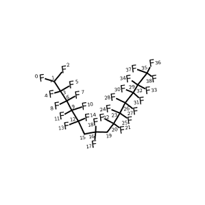 F[C](F)C(F)(F)C(F)(F)C(F)(F)C(F)(F)CC(F)(F)CC(F)(F)C(F)(F)C(F)(F)C(F)(F)C(F)(F)C(F)(F)F